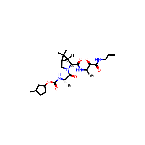 C=CCNC(=O)C(=O)C(CCC)NC(=O)[C@@H]1[C@@H]2C(CN1C(=O)[C@@H](NC(=O)OC1CCC(C)C1)C(C)(C)C)C2(C)C